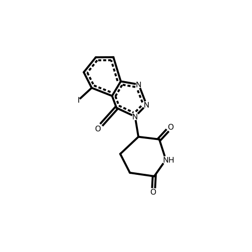 O=C1CCC(n2nnc3cccc(I)c3c2=O)C(=O)N1